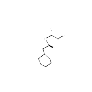 CC(C)C[C@H](NC(=O)CC1CCCCC1)C(=O)O